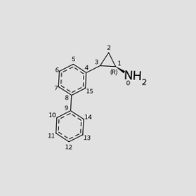 N[C@@H]1CC1c1cccc(-c2ccccc2)c1